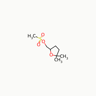 CC1(C)CCC(COS(C)(=O)=O)O1